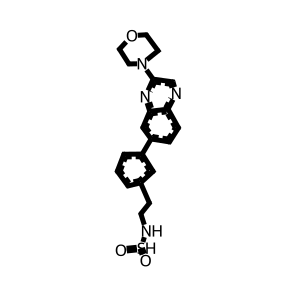 O=[SH](=O)NCCc1cccc(-c2ccc3ncc(N4CCOCC4)nc3c2)c1